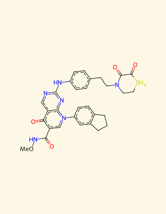 CONC(=O)c1cn(-c2ccc3c(c2)CCC3)c2nc(Nc3ccc(CCN4CC[SH4]C(=O)C4=O)cc3)ncc2c1=O